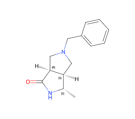 C[C@@H]1NC(=O)[C@H]2CN(Cc3ccccc3)C[C@@H]12